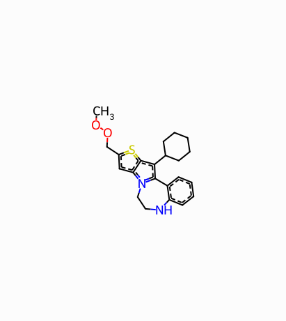 COOCc1cc2c(s1)c(C1CCCCC1)c1n2CCNc2ccccc2-1